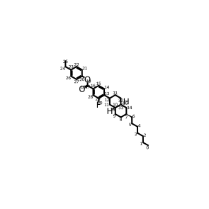 CCCCCCC[C@H]1CC[C@@H]2CC(c3ccc(C(=O)Oc4ccc(CC)cc4)cc3F)CC[C@H]2C1